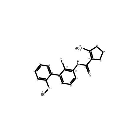 CCOc1ccccc1-c1cccc(NC(=O)C2=C(C(=O)O)CCC2)c1F